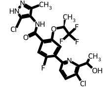 Cc1n[nH]c(Cl)c1NC(=O)c1cc(F)c(-c2ccc(Cl)c(C(C)O)n2)cc1O[C@@H](C)C(F)(F)F